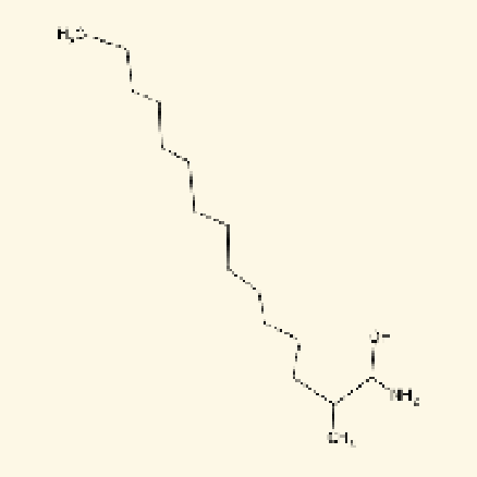 CCCCCCCCCCCCCC(C)C(N)O